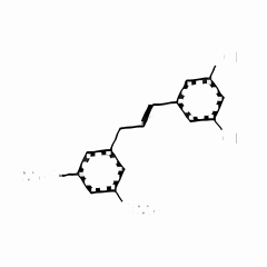 COc1cc(C/C=C/c2cc(O)cc(O)c2)cc(OC)c1